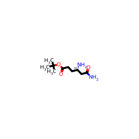 CC(C)(C)OC(=O)CC[C@H](N)CC(N)=O